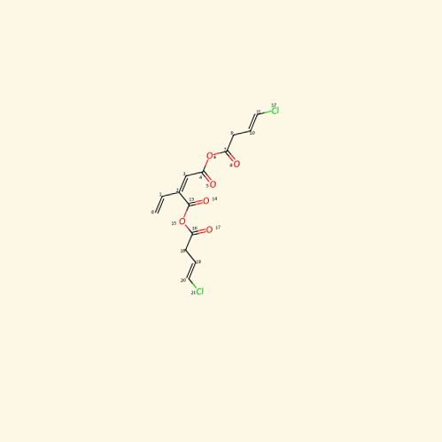 C=C/C(=C/C(=O)OC(=O)CC=CCl)C(=O)OC(=O)CC=CCl